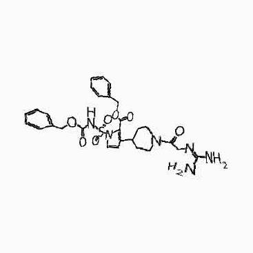 NC(N)=NCC(=O)N1CCC(c2ccn(S(=O)(=O)NC(=O)OCc3ccccc3)c2C(=O)OCc2ccccc2)CC1